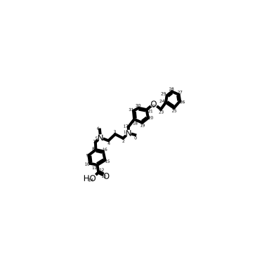 CN(CCCN(C)Cc1ccc(C(=O)O)cc1)Cc1ccc(OCc2ccccc2)cc1